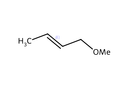 C/C=C/COC